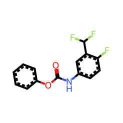 O=C(Nc1ccc(F)c(C(F)F)c1)Oc1ccccc1